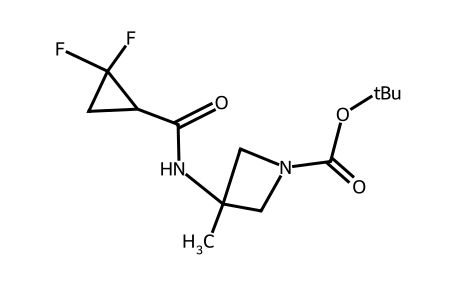 CC1(NC(=O)C2CC2(F)F)CN(C(=O)OC(C)(C)C)C1